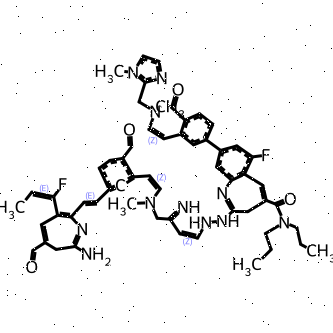 C/C=C(/F)C1=C(/C=C/c2ccc(C=O)c(/C=C\N(C)CC(=N)/C=C\NNC3=Nc4cc(-c5ccc(C=O)c(/C=C\N(C)Cc6nccn6C)c5)cc(F)c4C=C(C(=O)N(CCC)CCC)C3)c2)N=C(N)CC(C=O)=C1